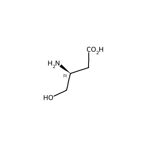 N[C@H](CO)CC(=O)O